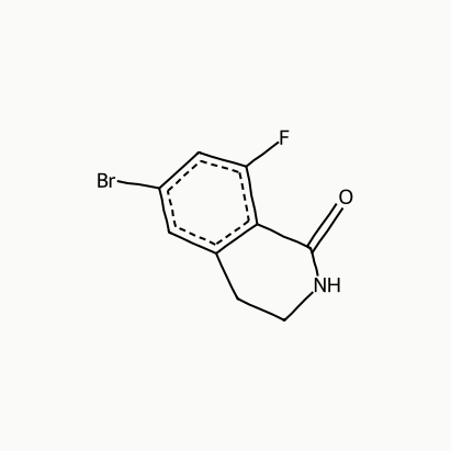 O=C1NCCc2cc(Br)cc(F)c21